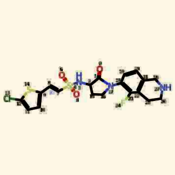 O=C1C(NS(=O)(=O)/C=C/c2ccc(Cl)s2)CCN1c1ccc2c(c1F)CCNC2